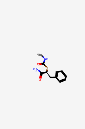 CC(C)(C)NC(=O)S[C@@H](Cc1ccccc1)C(N)=O